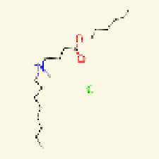 CCCCCCCC[N+](C)(C)CCCC(=O)OCCCCCC.[Cl-]